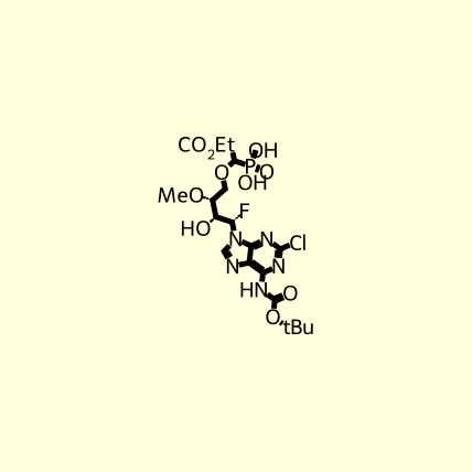 CCOC(=O)C(OC[C@@H](OC)[C@@H](O)[C@H](F)n1cnc2c(NC(=O)OC(C)(C)C)nc(Cl)nc21)P(=O)(O)O